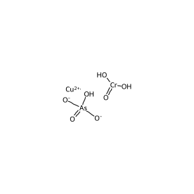 O=[As]([O-])([O-])O.[Cu+2].[O]=[Cr]([OH])[OH]